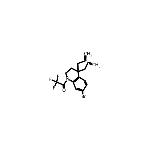 C=CCC1(CC=C)CCN(C(=O)C(F)(F)F)c2cc(Br)ccc21